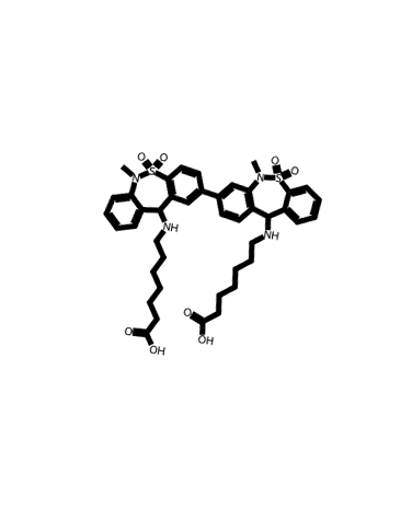 CN1c2ccccc2C(NCCCCCCC(=O)O)c2cc(-c3ccc4c(c3)N(C)S(=O)(=O)c3ccccc3C4NCCCCCCC(=O)O)ccc2S1(=O)=O